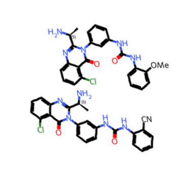 COc1ccccc1NC(=O)Nc1cccc(-n2c([C@H](C)N)nc3cccc(Cl)c3c2=O)c1.C[C@H](N)c1nc2cccc(Cl)c2c(=O)n1-c1cccc(NC(=O)Nc2ccccc2C#N)c1